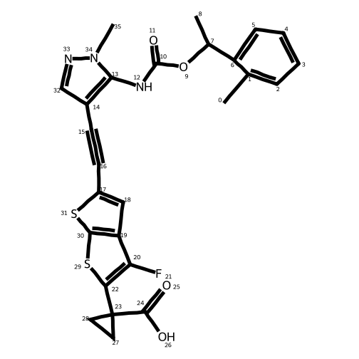 Cc1ccccc1C(C)OC(=O)Nc1c(C#Cc2cc3c(F)c(C4(C(=O)O)CC4)sc3s2)cnn1C